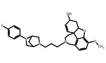 COc1ccc2c3c1OC1CC(O)C=CC31CCN(CCCN1CC3CC1CN3c1ccc(F)cc1)C2